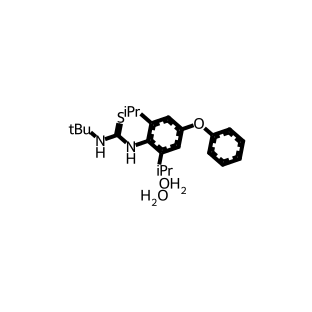 CC(C)c1cc(Oc2ccccc2)cc(C(C)C)c1NC(=S)NC(C)(C)C.O.O